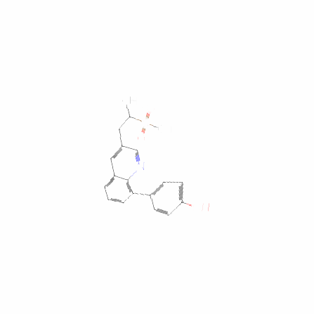 CC(Cc1cnc2c(-c3ccc(O)cc3)cccc2c1)S(C)(=O)=O